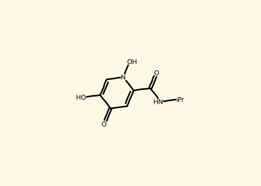 CC(C)NC(=O)c1cc(=O)c(O)cn1O